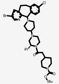 CC(C)[C@H]1CN(C2CCN(C3c4ccc(Cl)cc4CCc4cc(Br)cnc43)CC2)CCN1C(=O)CC1CCN(C(=O)OC(C)(C)C)CC1